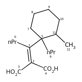 CCCC(=C(C(=O)O)C(=O)O)C1(CCC)CCCCC1C